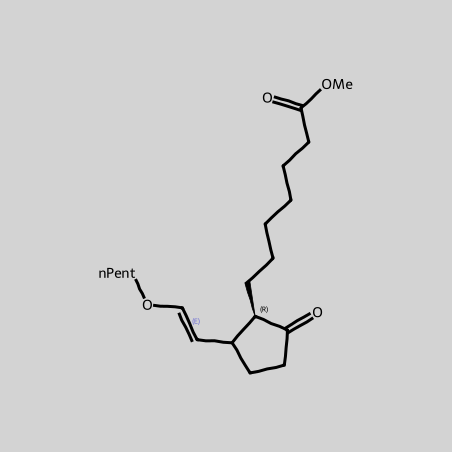 CCCCCO/C=C/C1CCC(=O)[C@@H]1CCCCCCC(=O)OC